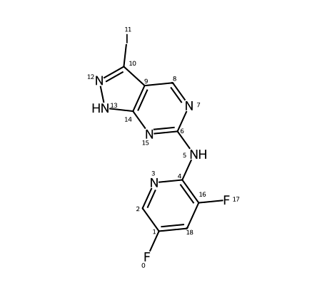 Fc1cnc(Nc2ncc3c(I)n[nH]c3n2)c(F)c1